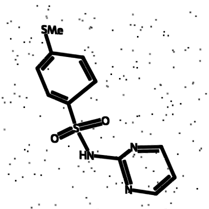 CSc1ccc(S(=O)(=O)Nc2ncccn2)cc1